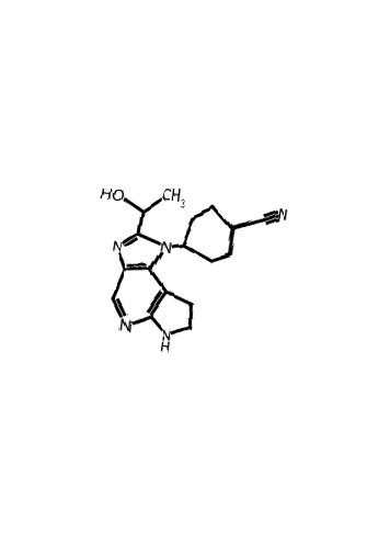 CC(O)c1nc2cnc3c(c2n1C1CCC(C#N)CC1)CCN3